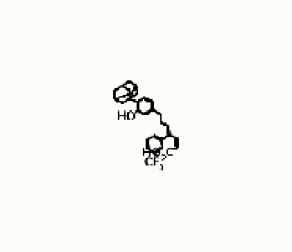 O=C(O)/C=C\C(=C\CCc1ccc(C23CC4CC(CC(C4)C2)C3)c(O)c1)c1cccc(C(F)(F)F)c1